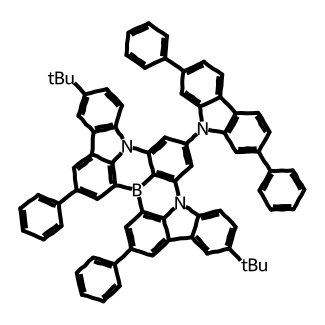 CC(C)(C)c1ccc2c(c1)c1cc(-c3ccccc3)cc3c1n2-c1cc(-n2c4cc(-c5ccccc5)ccc4c4ccc(-c5ccccc5)cc42)cc2c1B3c1cc(-c3ccccc3)cc3c4cc(C(C)(C)C)ccc4n-2c13